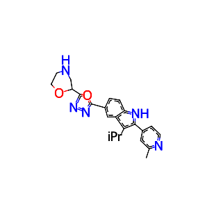 Cc1cc(-c2[nH]c3ccc(-c4nnc(C5CNCCO5)o4)cc3c2C(C)C)ccn1